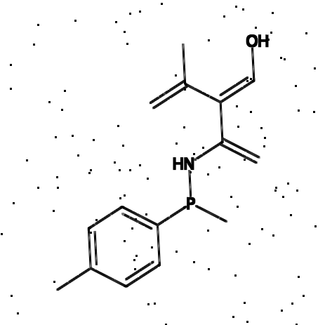 C=C(C)/C(=C\O)C(=C)NP(C)c1ccc(C)cc1